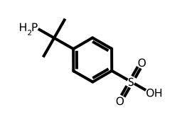 CC(C)(P)c1ccc(S(=O)(=O)O)cc1